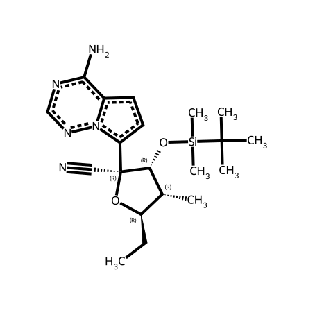 CC[C@H]1O[C@@](C#N)(c2ccc3c(N)ncnn23)[C@H](O[Si](C)(C)C(C)(C)C)[C@@H]1C